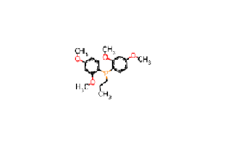 CCCP(c1ccc(OC)cc1OC)c1ccc(OC)cc1OC